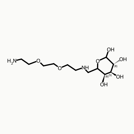 NCCOCCOCCNCC1OC(O)[C@H](O)[C@@H](O)[C@H]1O